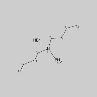 Br.CCCCN(P)CCCC